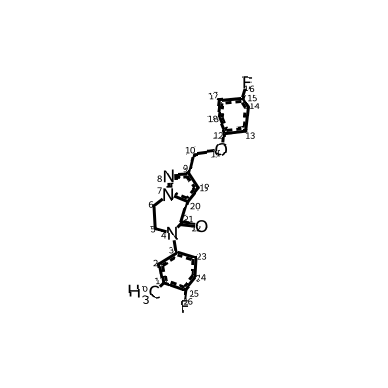 Cc1cc(N2CCn3nc(COc4ccc(F)cc4)cc3C2=O)ccc1F